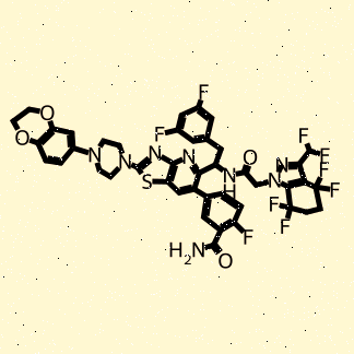 NC(=O)c1cc(-c2cc3sc(N4CCN(c5ccc6c(c5)OCCO6)CC4)nc3nc2C(Cc2cc(F)cc(F)c2)NC(=O)Cn2nc(C(F)F)c3c2C(F)(F)CCC3(F)F)ccc1F